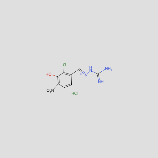 Cl.N=C(N)N/N=C/c1ccc([N+](=O)[O-])c(O)c1Cl